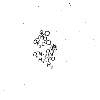 CC1(C)C(=O)N(Cc2nc(-c3ccc(Oc4ccccc4S(=O)(=O)CC4CCOC4)c(C(F)(F)F)c3)no2)C(=O)N1CCN1CCOCC1